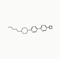 CCCCCC1CCC(c2ccc(-c3ccc(Cl)cc3)cc2)CC1